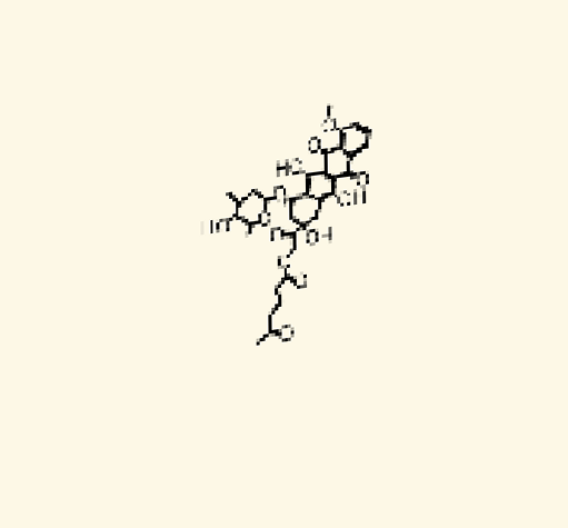 COc1cccc2c1C(=O)c1c(O)c3c(c(O)c1C2=O)CC(O)(C(=O)COC(=O)CCCC(C)=O)C[C@@H]3OC1CC(C)C(O)C(C)O1